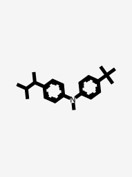 CC(C)C(C)c1ccc(N(C)c2ccc(C(C)(C)C)cc2)cc1